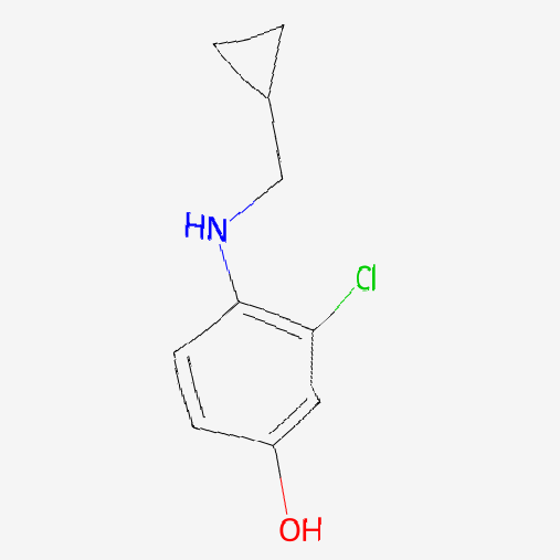 Oc1ccc(NCC2CC2)c(Cl)c1